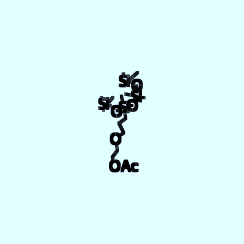 CC(=O)OCCOCCC[Si](C)(O[Si](C)(C)C)O[Si](C)(C)O[Si](C)(C)C